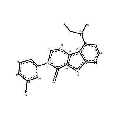 CCN(C)c1ccnc2sc3c(=O)n(-c4cccc(F)c4)cnc3c12